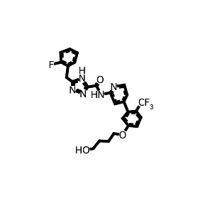 O=C(Nc1cc(-c2cc(OCCCCO)ccc2C(F)(F)F)ccn1)c1nnc(Cc2ccccc2F)[nH]1